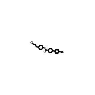 N#Cc1ccc(C2CCC(C(=O)OC3CCC(CCCCl)CC3)CC2)cc1